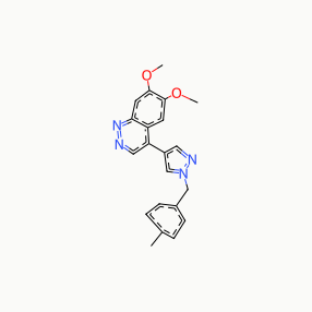 COc1cc2nncc(-c3cnn(Cc4ccc(C)cc4)c3)c2cc1OC